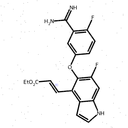 CCOC(=O)/C=C/c1c(Oc2ccc(F)c(C(=N)N)c2)c(F)cc2[nH]ccc12